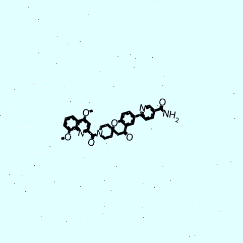 COc1cc(C(=O)N2CCC3(CC2)CC(=O)c2cc(-c4ccc(C(N)=O)cn4)ccc2O3)nc2c(OC)cccc12